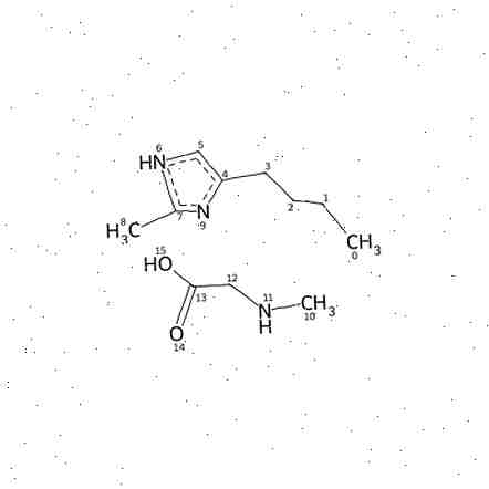 CCCCc1c[nH]c(C)n1.CNCC(=O)O